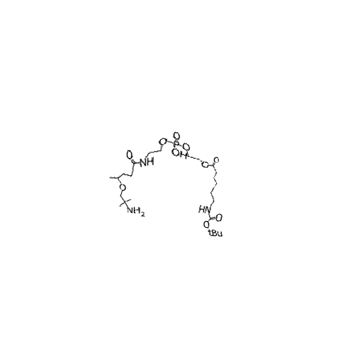 CC(CCC(=O)NCCOP(=O)(O)OCCOC(=O)CCCCCNC(=O)OC(C)(C)C)OCC(C)(C)N